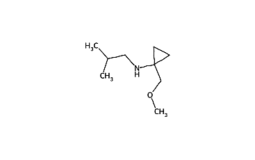 COCC1(NCC(C)C)CC1